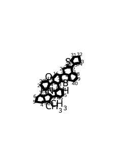 CC1(C)c2ccccc2-c2[nH]c3c(-c4c5c(cc6oc7ccccc7c46)C4Cc6sc7ccccc7c6-c6cccc(c64)B5)cccc3c21